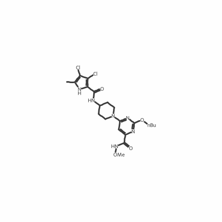 CCCCOc1nc(C(=O)NOC)cc(N2CCC(NC(=O)c3[nH]c(C)c(Cl)c3Cl)CC2)n1